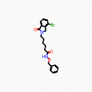 O=C(CCCCCN1Cc2c(Br)cccc2C1=O)NOCc1ccccc1